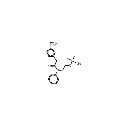 CC(C)(C)[Si](C)(C)OCCN(C(=O)Cc1ccc(C(=O)O)s1)c1ccccc1